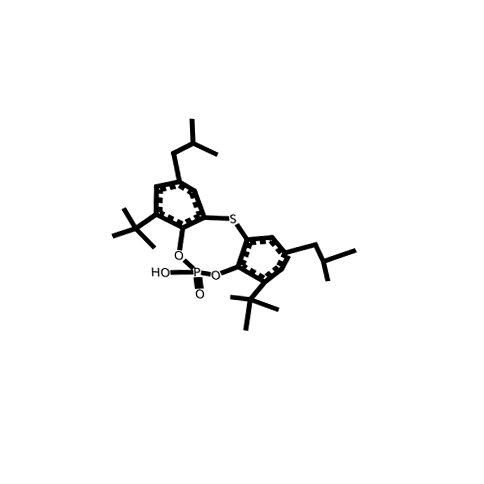 CC(C)Cc1cc2c(c(C(C)(C)C)c1)OP(=O)(O)Oc1c(cc(CC(C)C)cc1C(C)(C)C)S2